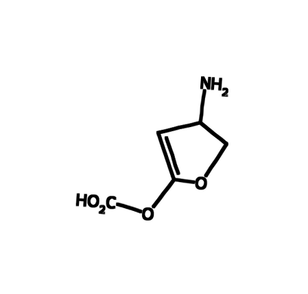 NC1C=C(OC(=O)O)OC1